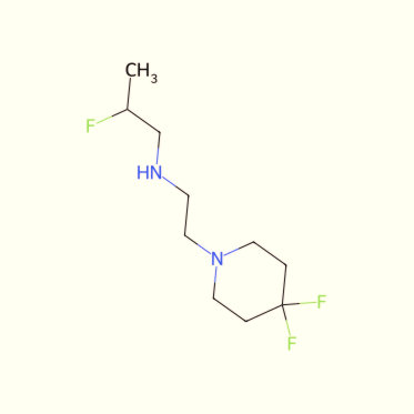 CC(F)CNCCN1CCC(F)(F)CC1